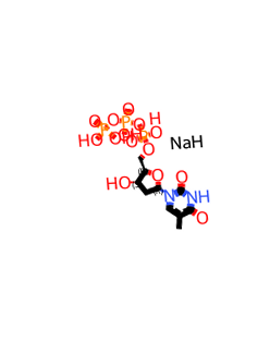 Cc1cn([C@H]2C[C@H](O)[C@@H](COP(=O)(O)OP(=O)(O)OP(=O)(O)O)O2)c(=O)[nH]c1=O.[NaH]